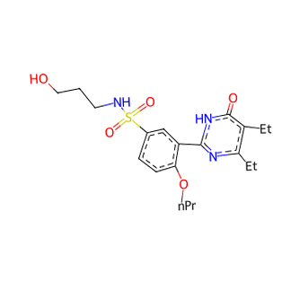 CCCOc1ccc(S(=O)(=O)NCCCO)cc1-c1nc(CC)c(CC)c(=O)[nH]1